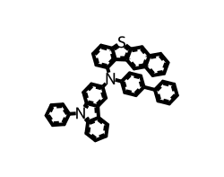 c1ccc(-c2ccc(N(c3ccc4c(c3)c3ccccc3n4-c3ccccc3)c3cccc4sc5cc6ccccc6cc5c34)cc2)cc1